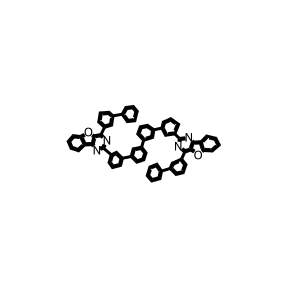 c1ccc(-c2cccc(-c3nc(-c4cccc(-c5cccc(-c6cccc(-c7cccc(-c8nc(-c9cccc(-c%10ccccc%10)c9)c9oc%10ccccc%10c9n8)c7)c6)c5)c4)nc4c3oc3ccccc34)c2)cc1